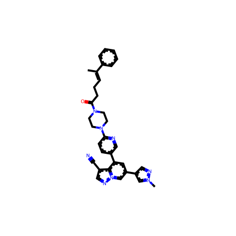 C/C(=C\CCC(=O)N1CCN(c2ccc(-c3cc(-c4cnn(C)c4)cn4ncc(C#N)c34)cn2)CC1)c1ccccc1